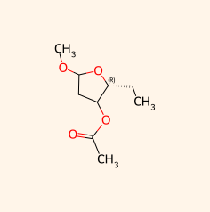 CC[C@H]1OC(OC)CC1OC(C)=O